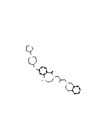 CN1CCN(CC(O)CN2CCc3ccccc3C2)C(=O)c2ccc(OC3CCN(C4CCOC4)CC3)cc21